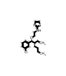 CCCC[C@H](CC)[C@@H](OCCNc1nccs1)c1cccc(Cl)c1